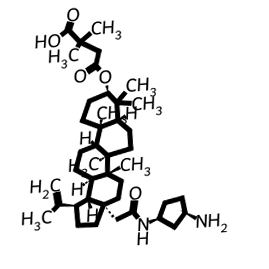 C=C(C)[C@@H]1CC[C@]2(CC(=O)N[C@H]3CC[C@@H](N)C3)CC[C@]3(C)[C@H](CC[C@@H]4[C@@]5(C)CC[C@H](OC(=O)CC(C)(C)C(=O)O)C(C)(C)[C@@H]5CC[C@]43C)[C@@H]12